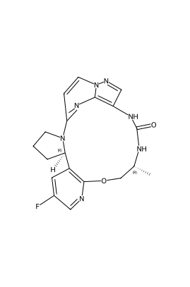 C[C@@H]1COc2ncc(F)cc2[C@H]2CCCN2c2ccn3ncc(c3n2)NC(=O)N1